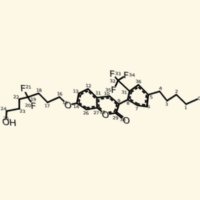 CCCCCc1ccc(-c2cc3ccc(OCCCC(F)(F)CCCO)cc3oc2=O)c(C(F)(F)F)c1